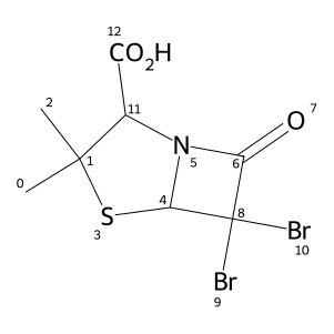 CC1(C)SC2N(C(=O)C2(Br)Br)C1C(=O)O